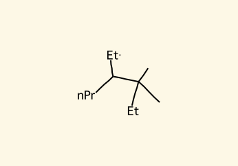 C[CH]C(CCC)C(C)(C)CC